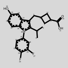 CC(C)c1c(CC2CC(C(=O)O)C2)c2cc(O)ccc2n1-c1ccc(F)c(F)c1